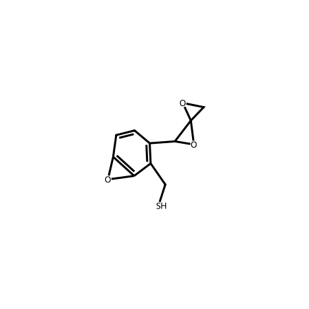 SCc1c(C2OC23CO3)ccc2c1O2